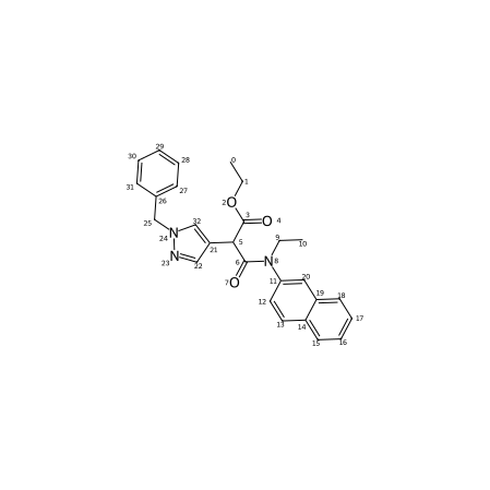 CCOC(=O)C(C(=O)N(CC)c1ccc2ccccc2c1)c1cnn(Cc2ccccc2)c1